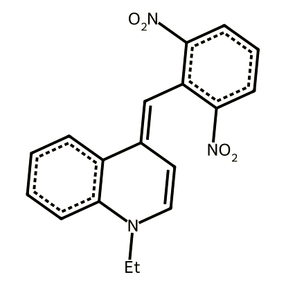 CCN1C=CC(=Cc2c([N+](=O)[O-])cccc2[N+](=O)[O-])c2ccccc21